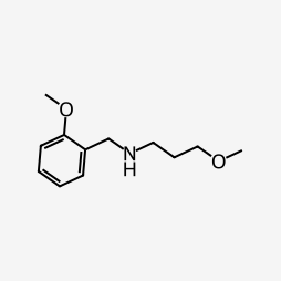 COCCCNCc1ccccc1OC